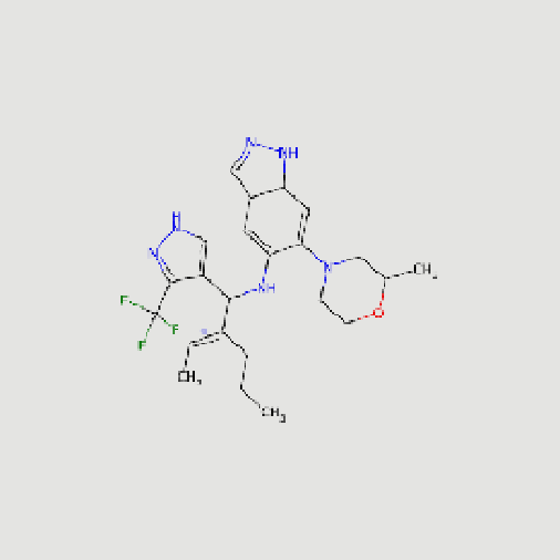 C/C=C(\CCC)C(NC1=CC2C=NNC2C=C1N1CCOC(C)C1)c1c[nH]nc1C(F)(F)F